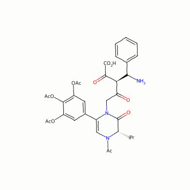 CC(=O)Oc1cc(C2=CN(C(C)=O)[C@@H](C(C)C)C(=O)N2CC(=O)[C@@H](C(=O)C(=O)O)C(N)c2ccccc2)cc(OC(C)=O)c1OC(C)=O